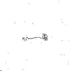 CCCCCCCCCCCCCCCC(=O)OC1=NCCN1CCN